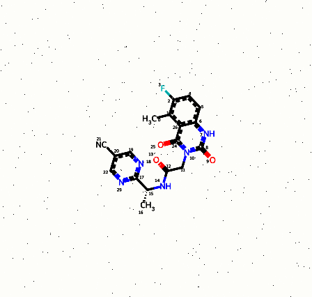 Cc1c(F)ccc2[nH]c(=O)n(CC(=O)N[C@H](C)c3ncc(C#N)cn3)c(=O)c12